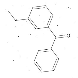 CCc1cccc(C(=O)c2cc[c]cc2)c1